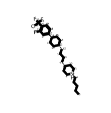 CCCCC[Si@H]1CC[C@H](CCCC[C@H]2CC[C@H](c3ccc(C(F)(F)Cl)c(F)c3)CC2)CC1